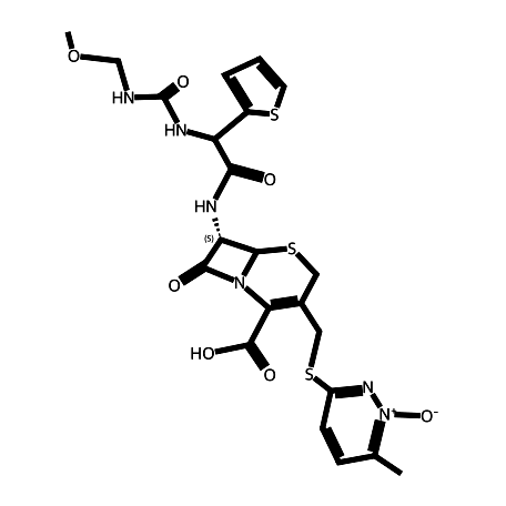 COCNC(=O)NC(C(=O)N[C@H]1C(=O)N2C(C(=O)O)=C(CSc3ccc(C)[n+]([O-])n3)CSC12)c1cccs1